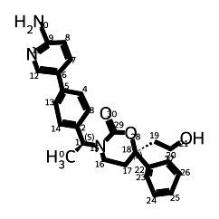 C[C@@H](c1ccc(-c2ccc(N)nc2)cc1)N1CC[C@](CCO)(c2ccccc2)OC1=O